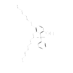 CCCCCCCCCCc1c(CCCCCCCC)ccc(O)c1C(C)(C)c1ccccc1